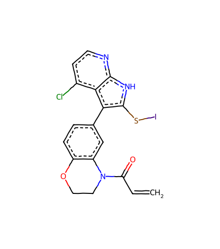 C=CC(=O)N1CCOc2ccc(-c3c(SI)[nH]c4nccc(Cl)c34)cc21